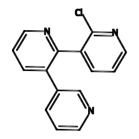 Clc1ncccc1-c1ncccc1-c1cccnc1